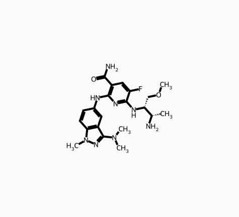 COC[C@@H](Nc1nc(Nc2ccc3c(c2)c(N(C)C)nn3C)c(C(N)=O)cc1F)[C@H](C)N